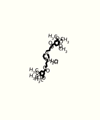 COc1cc(C(=O)OCCCN2CCCN(CCCOC(=O)c3cc(OC)c(OC)c(OC)c3)CC2)cc(OC)c1OC.Cl.O